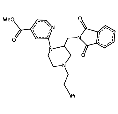 COC(=O)c1ccnc(N2CCN(CCC(C)C)CC2CN2C(=O)c3ccccc3C2=O)c1